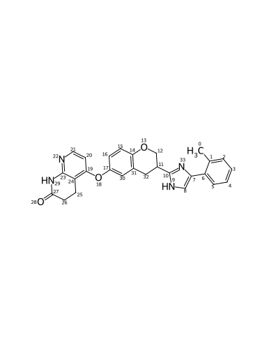 Cc1ccccc1-c1c[nH]c(C2COc3ccc(Oc4ccnc5c4CCC(=O)N5)cc3C2)n1